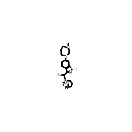 CN1CCCN(c2ccc3c(C(=O)N4CCN5CCC4CC5)n[nH]c3c2)CC1